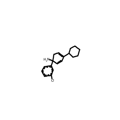 NC1(c2cccc(Cl)c2)C=CC(C2CCCCC2)=CC1